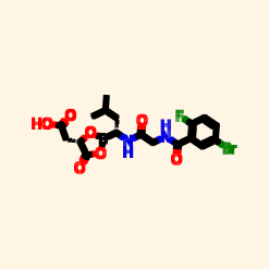 CC(C)C[C@H](NC(=O)CNC(=O)c1cc(Br)ccc1F)B1OC(=O)[C@H](CC(=O)O)O1